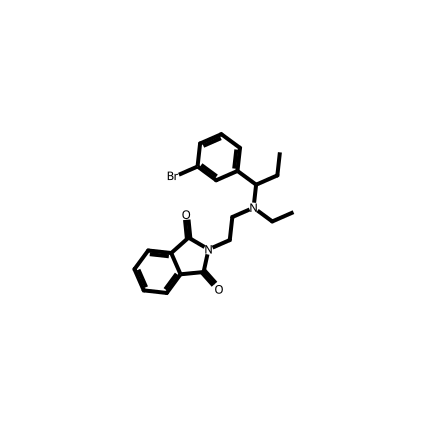 CCC(c1cccc(Br)c1)N(CC)CCN1C(=O)c2ccccc2C1=O